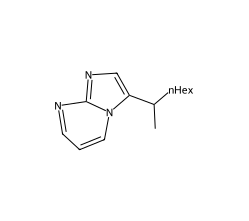 CCCCCCC(C)c1cnc2ncccn12